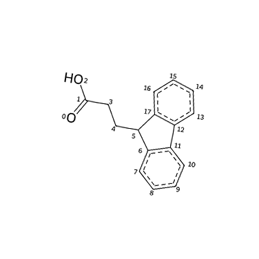 O=C(O)CCC1c2ccccc2-c2ccccc21